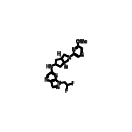 COc1cncc(N2C[C@H]3CC(Nc4cnc5cnn(CC(F)F)c5n4)C[C@H]3C2)n1